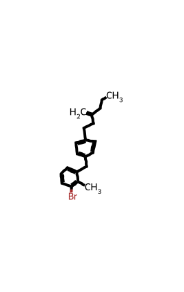 C=C(CCC)CCc1ccc(Cc2cccc(Br)c2C)cc1